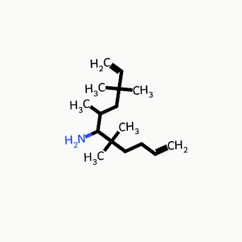 C=CCCC(C)(C)C(N)C(C)CC(C)(C)C=C